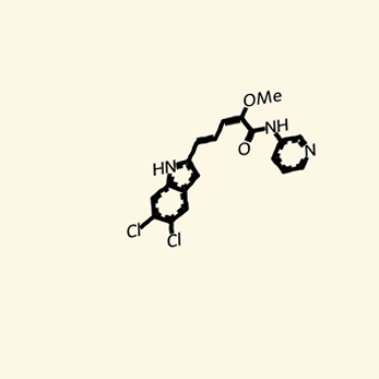 CO/C(=C/C=C/c1cc2cc(Cl)c(Cl)cc2[nH]1)C(=O)Nc1cccnc1